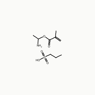 C=C(C)C(=O)OC(C)N.CCCS(=O)(=O)O